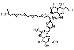 CC(=O)N[C@@H]1[C@H](OCC(=O)N[C@@H](CC(=O)N[C@@H]2O[C@H](CO)[C@@H](O)[C@H](O)[C@@H]2NC(C)=O)C(=O)NCCOCCOCCOCCOCCC(=O)O)O[C@H](CO)[C@@H](O)[C@@H]1O